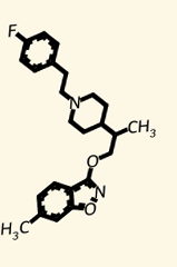 Cc1ccc2c(OCC(C)C3CCN(CCc4ccc(F)cc4)CC3)noc2c1